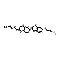 C=CCCc1ccc2c(c1)CCC(C1CCC3CC(CCC=CC)CCC3C1)C2